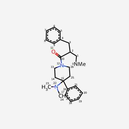 CNCC(Cc1ccccc1)C(=O)N1CCC(c2ccccc2)(N(C)C)CC1